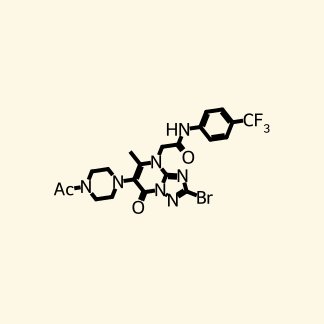 CC(=O)N1CCN(c2c(C)n(CC(=O)Nc3ccc(C(F)(F)F)cc3)c3nc(Br)nn3c2=O)CC1